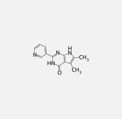 Cc1[nH]c2nc(-c3cccnc3)[nH]c(=O)c2c1C